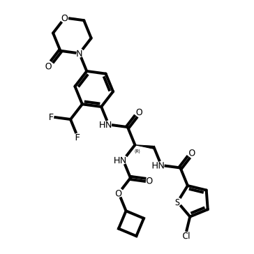 O=C(N[C@H](CNC(=O)c1ccc(Cl)s1)C(=O)Nc1ccc(N2CCOCC2=O)cc1C(F)F)OC1CCC1